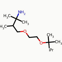 CC(COCCOC(C)(C)C(C)C)C(C)(C)N